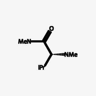 CNC(=O)[C@H](NC)C(C)C